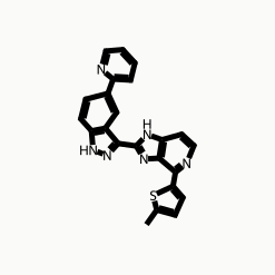 Cc1ccc(-c2nccc3[nH]c(-c4n[nH]c5ccc(-c6ccccn6)cc45)nc23)s1